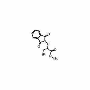 CC(C)CC(ON1C(=O)c2ccccc2C1=O)C(=O)OC(C)(C)C